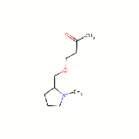 CC(=O)CCOCC1CCCN1C